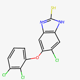 Sc1nc2cc(Oc3cccc(Cl)c3Cl)c(Cl)cc2[nH]1